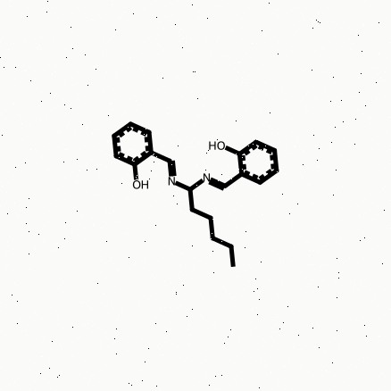 CCCCCC(N=Cc1ccccc1O)N=Cc1ccccc1O